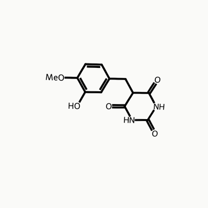 COc1ccc(CC2C(=O)NC(=O)NC2=O)cc1O